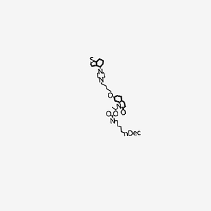 CCCCCCCCCCCCCCN(C)C(=O)OC(C)n1c(=O)ccc2ccc(OCCCCN3CCN(c4cccc5sccc45)CC3)cc21